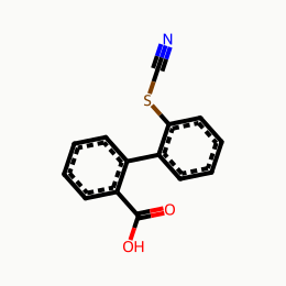 N#CSc1ccccc1-c1ccccc1C(=O)O